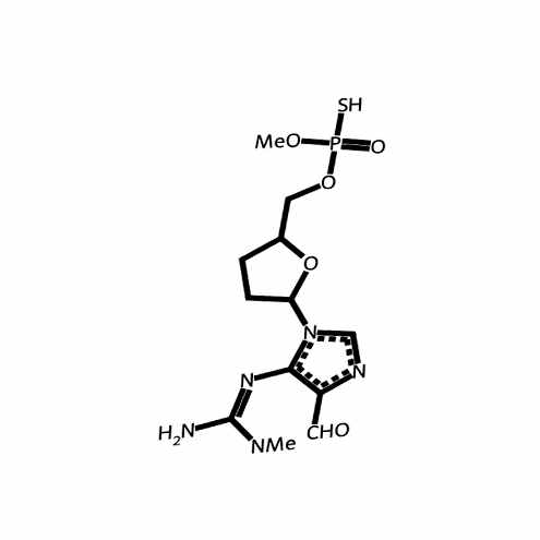 CN/C(N)=N\c1c(C=O)ncn1C1CCC(COP(=O)(S)OC)O1